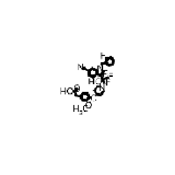 COc1cc(CC(=O)O)ccc1OC1CCN(CC(O)(c2cn(Cc3ccccc3F)c3cc(C#N)ccc23)C(F)(F)F)CC1